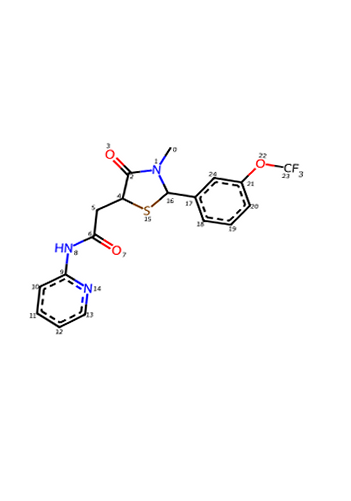 CN1C(=O)C(CC(=O)Nc2ccccn2)SC1c1cccc(OC(F)(F)F)c1